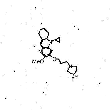 COc1cc2c(cc1OCCCN1CC[C@H](F)C1)N(C1CC1)C1CCCCC1=C2